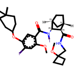 COc1cc(I)c(OC2CCC(C)(C)CC2)cc1C(=O)N(I)[C@@H]1[C@H]2CC[C@@H](C2)[C@H]1C(=O)NCC1(OC)CCC1